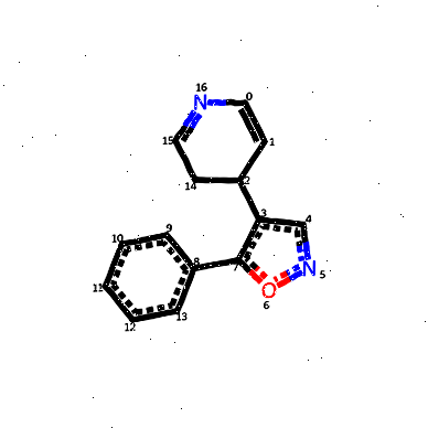 C1=CC(c2cnoc2-c2ccccc2)CC=N1